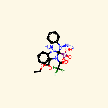 CCOC(=O)CN(C(=O)C(F)(F)F)C(N(N)c1ccccc1)(N(N)c1ccccc1)P(=O)(O)O